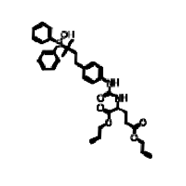 C=CCOC(=O)CC[C@H](NC(=O)Nc1ccc(CCC(C)(C)[Si](O)(c2ccccc2)c2ccccc2)cc1)C(=O)OCC=C